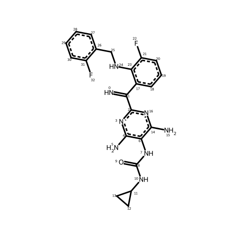 N=C(c1nc(N)c(NC(=O)NC2CC2)c(N)n1)c1cccc(F)c1NCc1ccccc1F